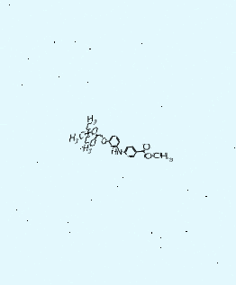 COC(=O)c1ccc(Nc2cccc(OCC(=O)OC(C)(C)C)c2)cc1